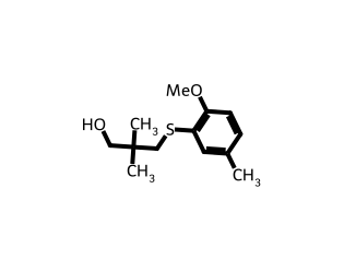 COc1ccc(C)cc1SCC(C)(C)CO